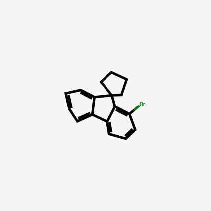 Brc1cccc2c1C1(CCCC1)c1ccccc1-2